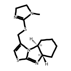 CN1CCN=C1SCC1=CSC2=N[C@H]3CCCC[C@@H]3N12